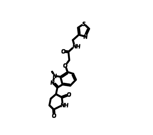 Cn1nc(C2CCC(=O)NC2=O)c2cccc(OCC(=O)NCc3cscn3)c21